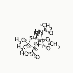 COC1(NC(C)=O)C(=O)N2[C@@H](C(=O)O)C(C)(C)S[C@@H]21